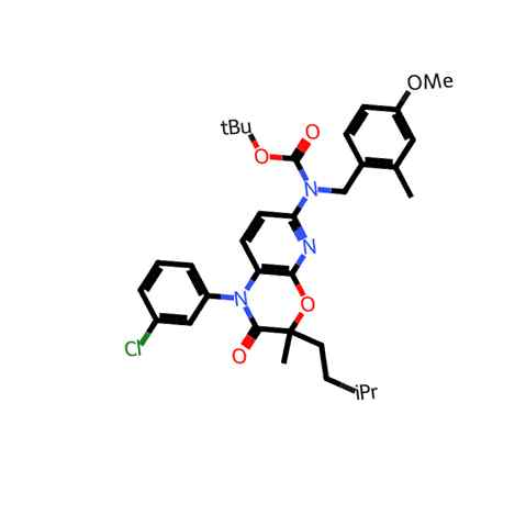 COc1ccc(CN(C(=O)OC(C)(C)C)c2ccc3c(n2)OC(C)(CCC(C)C)C(=O)N3c2cccc(Cl)c2)c(C)c1